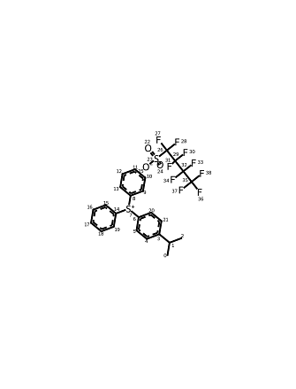 CC(C)c1ccc([S+](c2ccccc2)c2ccccc2)cc1.O=S(=O)([O-])C(F)(F)C(F)(F)C(F)(F)C(F)(F)F